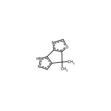 CC1(C)c2cn[nH]c2-c2ncoc21